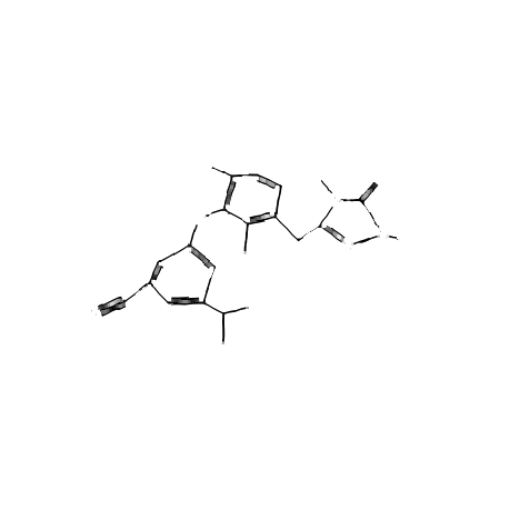 Cc1ccc(Cc2nn(C)c(=O)n2C)c(F)c1Oc1cc(C#N)cc(C(F)F)c1